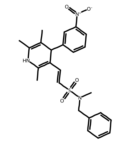 CC1=C(C)C(c2cccc([N+](=O)[O-])c2)C(/C=C/S(=O)(=O)N(C)Cc2ccccc2)=C(C)N1